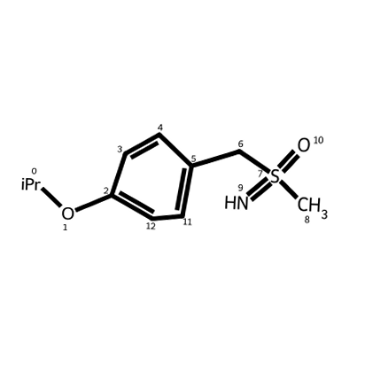 CC(C)Oc1ccc(CS(C)(=N)=O)cc1